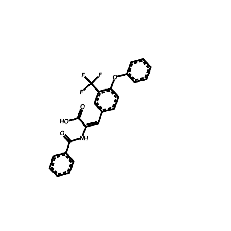 O=C(O)/C(=C\c1ccc(Oc2ccccc2)c(C(F)(F)F)c1)NC(=O)c1ccccc1